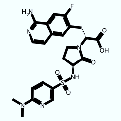 CN(C)c1ccc(S(=O)(=O)N[C@H]2CCN([C@H](Cc3cc4ccnc(N)c4cc3F)C(=O)O)C2=O)cn1